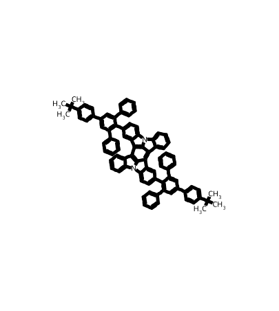 CC(C)(C)c1ccc(-c2cc(-c3ccccc3)c(-c3ccc4c(c3)c3c5c6ccccc6n6c7ccc(-c8c(-c9ccccc9)cc(-c9ccc(C(C)(C)C)cc9)cc8-c8ccccc8)cc7c(c7c8ccccc8n4c73)c56)c(-c3ccccc3)c2)cc1